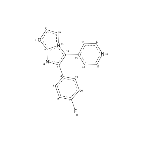 Fc1ccc(-c2nc3occn3c2-c2ccncc2)cc1